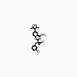 Cc1noc(C)c1-c1ccc2nc(C3(Cc4cccc(Cl)c4)CC3Cl)nc(N)c2c1